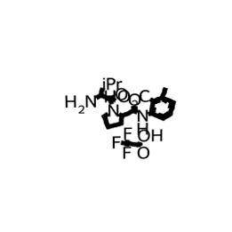 Cc1cccc(NC(=O)C2CCCN2C(=O)C(N)C(C)C)c1C(=O)O.O=C(O)C(F)(F)F